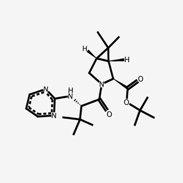 CC(C)(C)OC(=O)[C@@H]1[C@@H]2[C@H](CN1C(=O)[C@@H](Nc1ncccn1)C(C)(C)C)C2(C)C